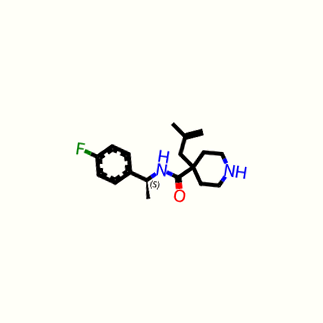 C=C(C)CC1(C(=O)N[C@@H](C)c2ccc(F)cc2)CCNCC1